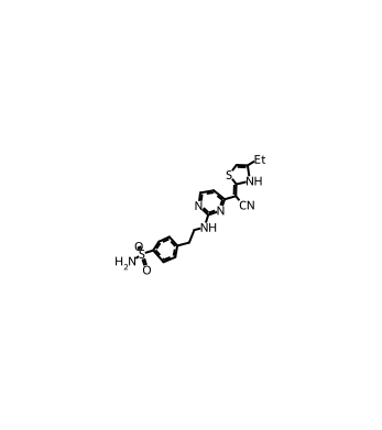 CCC1=CSC(=C(C#N)c2ccnc(NCCc3ccc(S(N)(=O)=O)cc3)n2)N1